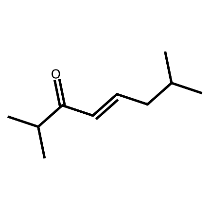 CC(C)CC=CC(=O)C(C)C